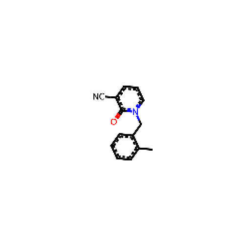 Cc1ccccc1Cn1cccc(C#N)c1=O